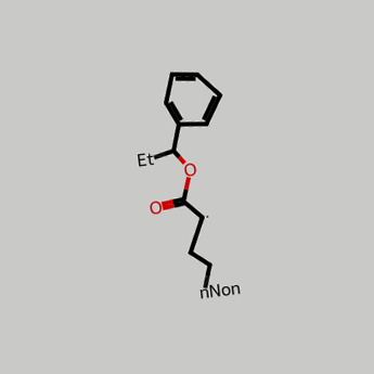 CCCCCCCCCCC[CH]C(=O)OC(CC)c1ccccc1